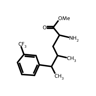 COC(=O)C(N)CC(C)C(C)c1cccc(C(F)(F)F)c1